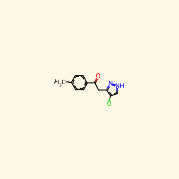 Cc1ccc(C(=O)Cc2n[nH]cc2Cl)cc1